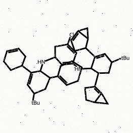 CC(C)(C)C1C=C(C2CC=CCC2)C(NC2C=C(NC3C(C4CC=C5CC54)=CC(C(C)(C)C)CC3C3=C4CC4CC3)C=C(Cl)C2)C(C2=CCCCC2)C1